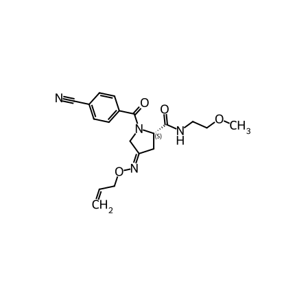 C=CCON=C1C[C@@H](C(=O)NCCOC)N(C(=O)c2ccc(C#N)cc2)C1